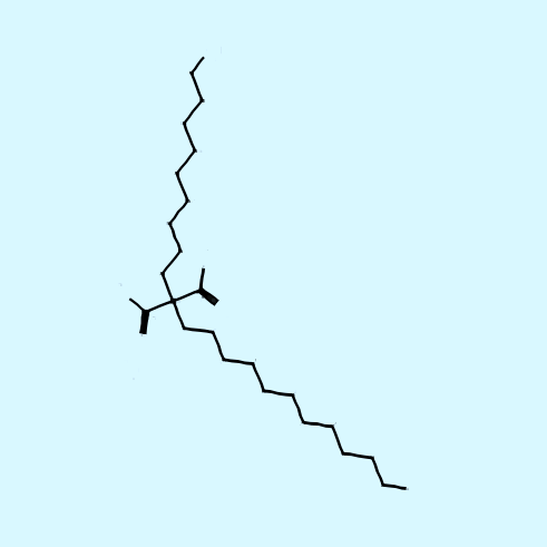 CCCCCCCCCCCCC(CCCCCCCCCC)(C(=O)[O-])C(=O)[O-].[Li+].[Li+]